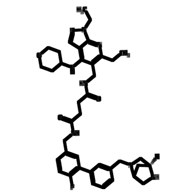 CCc1nc2c(cnn2CC)c(NC2CCOCC2)c1CNC(=O)CCC(=O)NCc1ccc(F)c(-c2cccc(CN3C[C@@H]4CC3CN4)c2)c1